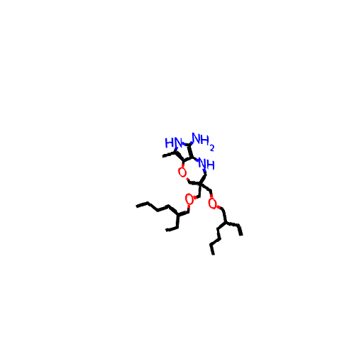 CCCCC(CC)COCC1(COCC(CC)CCCC)CNc2c(N)[nH]c(C)c2OC1